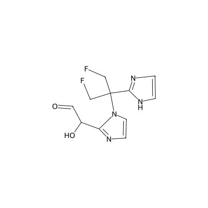 O=CC(O)c1nccn1C(CF)(CF)c1ncc[nH]1